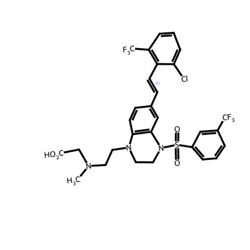 CN(CCN1CCN(S(=O)(=O)c2cccc(C(F)(F)F)c2)c2cc(/C=C/c3c(Cl)cccc3C(F)(F)F)ccc21)CC(=O)O